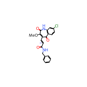 COc1c(/C=C/C(=O)NCc2ccccc2)c(=O)c2ccc(Cl)cc2[nH]c1=O